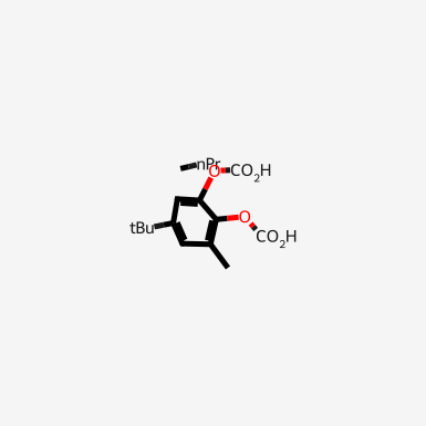 CCCC.Cc1cc(C(C)(C)C)cc(OC(=O)O)c1OC(=O)O